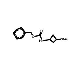 CNC1CC(NC(=O)OCc2ccccc2)C1